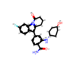 NC(=O)c1ccc(-c2c3n(c4cc(F)ccc24)C(=O)CCC3)cc1N[C@H]1CC[C@H](O)CC1